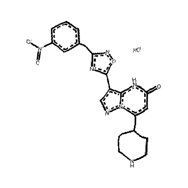 Cl.O=c1cc(C2CCNCC2)n2ncc(-c3nc(-c4cccc([N+](=O)[O-])c4)no3)c2[nH]1